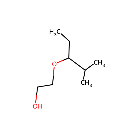 CCC(OCCO)C(C)C